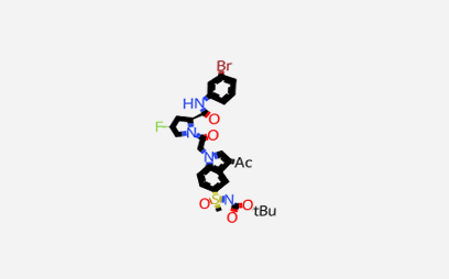 CC(=O)c1cn(CC(=O)N2C[C@H](F)C[C@H]2C(=O)Nc2cccc(Br)c2)c2ccc(S(C)(=O)=NC(=O)OC(C)(C)C)cc12